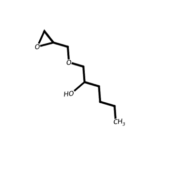 CCCCC(O)COCC1CO1